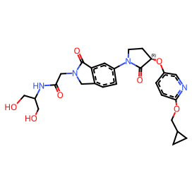 O=C(CN1Cc2ccc(N3CC[C@@H](Oc4ccc(OCC5CC5)nc4)C3=O)cc2C1=O)NC(CO)CO